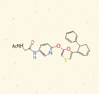 CC(=O)NCC(=O)Nc1ccc(OC2=CSC=C(C3=CC=CCC3c3ccccc3)O2)nc1